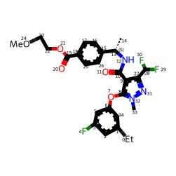 CCc1cc(F)cc(Oc2c(C(=O)N[C@@H](C)c3ccc(C(=O)OCCOC)cc3)c(C(F)F)nn2C)c1